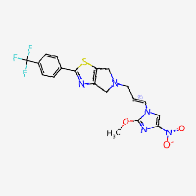 COc1nc([N+](=O)[O-])cn1/C=C/CN1Cc2nc(-c3ccc(C(F)(F)F)cc3)sc2C1